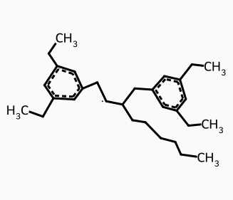 CCCCCCC([CH]Cc1cc(CC)cc(CC)c1)Cc1cc(CC)cc(CC)c1